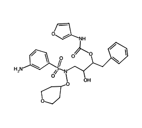 Nc1cccc(S(=O)(=O)N(CC(O)C(Cc2ccccc2)OC(=O)Nc2ccoc2)OC2CCOCC2)c1